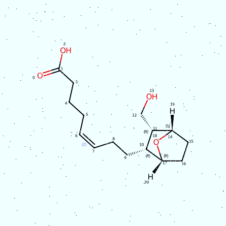 O=C(O)CCC/C=C\CC[C@@H]1[C@H](CO)[C@@H]2CC[C@H]1O2